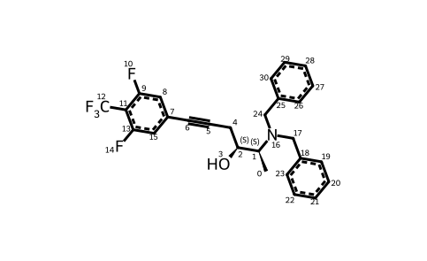 C[C@@H]([C@@H](O)CC#Cc1cc(F)c(C(F)(F)F)c(F)c1)N(Cc1ccccc1)Cc1ccccc1